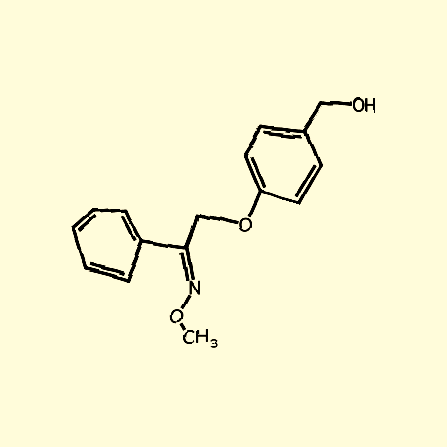 CON=C(COc1ccc(CO)cc1)c1ccccc1